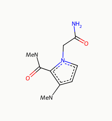 CNC(=O)c1c(NC)ccn1CC(N)=O